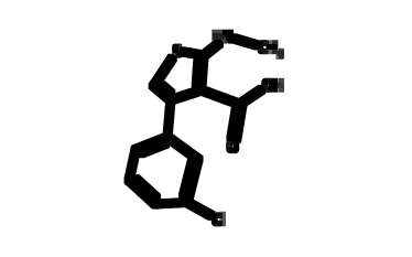 CNc1scc(-c2cccc(Cl)c2)c1C(=O)O